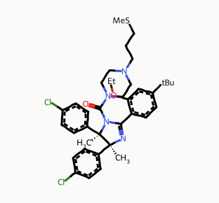 CCOc1cc(C(C)(C)C)ccc1C1=N[C@@](C)(c2ccc(Cl)cc2)[C@@](C)(c2ccc(Cl)cc2)N1C(=O)N1CCN(CCCSC)CC1